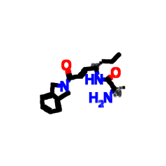 CCC[C@@H](C=CC(=O)N1Cc2ccccc2C1)NC(=O)[C@H](C)N